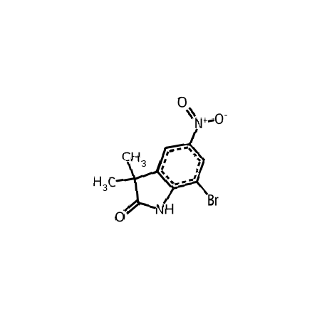 CC1(C)C(=O)Nc2c(Br)cc([N+](=O)[O-])cc21